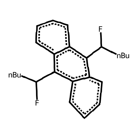 CCCCC(F)c1c2ccccc2c(C(F)CCCC)c2ccccc12